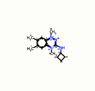 Cc1cc2c(cc1C)[n+](C)c(NC1CCC1)n[n+]2C